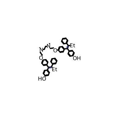 CC/C(=C(\c1ccc(O)cc1)c1ccc(OCCN(C)CCN(C)CCOc2ccc(/C(=C(/CC)c3ccccc3)c3ccc(O)cc3)cc2)cc1)c1ccccc1